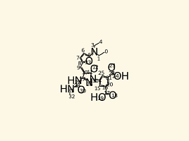 CCN(CC)c1ccc(C=C2C(=O)N(c3cc(C(=O)O)cc(C(=O)O)c3)N=C2NC(=O)NC)o1